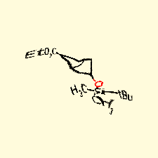 CCOC(=O)C1C2CC(O[Si](C)(C)C(C)(C)C)CC21